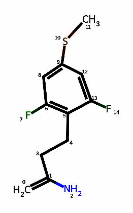 C=C(N)CCc1c(F)cc(SC)cc1F